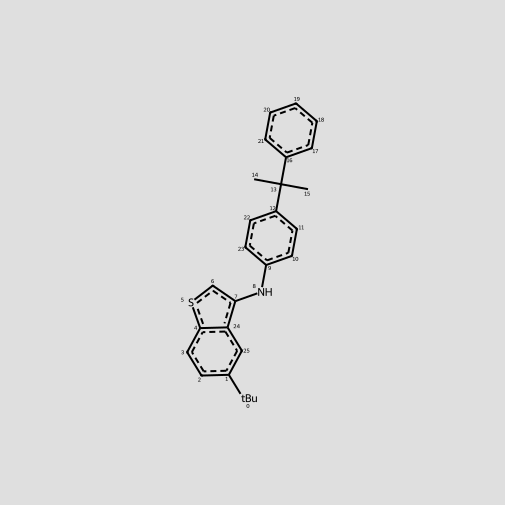 CC(C)(C)c1ccc2scc(Nc3ccc(C(C)(C)c4ccccc4)cc3)c2c1